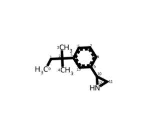 CCC(C)(C)c1cccc(C2CN2)c1